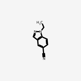 CCn1ncc2cc(C#N)ccc21